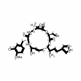 COc1ccc(C[C@H]2NC(O)/C=C/C[C@@H]([C@H](C)/C=C/c3cn[nH]c3)OC(=O)[C@H](CC(C)C)OC(=O)C(C)(C)CNC2=O)cc1Cl